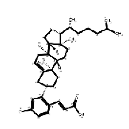 CC(C)CCC[C@@H](C)[C@H]1CC[C@H]2[C@@H]3CC=C4C[C@@H](c5cc(Cl)ccc5/C=C/C(=O)O)CC[C@]4(C)[C@H]3CC[C@]12C